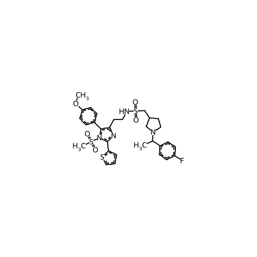 COc1ccc(-c2c(CCNS(=O)(=O)CC3CCN(C(C)c4ccc(F)cc4)C3)nc(-c3cccs3)n2S(C)(=O)=O)cc1